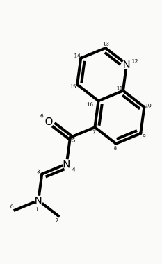 CN(C)/C=N/C(=O)c1cccc2ncccc12